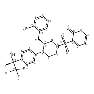 C[C@@](O)(c1ccc(N2CCN(S(=O)(=O)C3=CC=CCC3=S)C[C@@H]2Cc2ccccc2F)cc1)C(F)(F)F